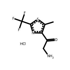 Cc1sc(C(F)(F)F)nc1C(=O)CN.Cl